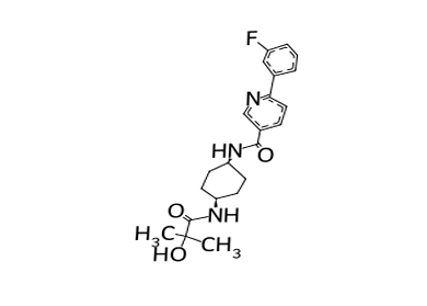 CC(C)(O)C(=O)N[C@H]1CC[C@@H](NC(=O)c2ccc(-c3cccc(F)c3)nc2)CC1